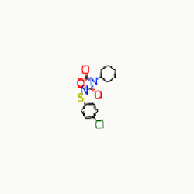 O=c1on(Sc2ccc(Cl)cc2)c(=O)n1C1CCCCC1